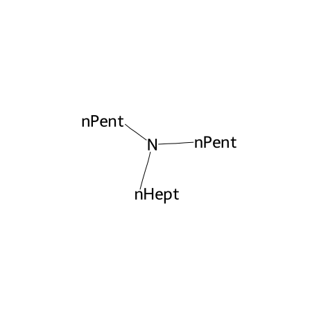 [CH2]CCCCCCN(CCCCC)CCCCC